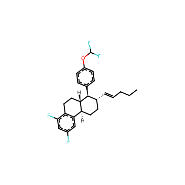 CCC/C=C/[C@@H]1CC[C@H]2c3cc(F)cc(F)c3CC[C@@H]2[C@H]1c1ccc(OC(F)F)cc1